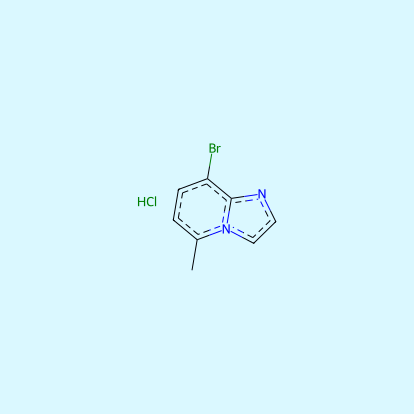 Cc1ccc(Br)c2nccn12.Cl